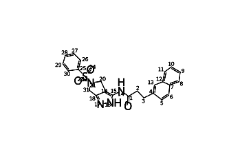 O=C(CCc1ccc2ccccc2c1)Nc1[nH]nc2c1CN(S(=O)(=O)c1ccccc1)C2